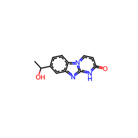 CC(O)c1ccc2c(c1)nc1[nH]c(=O)ccn12